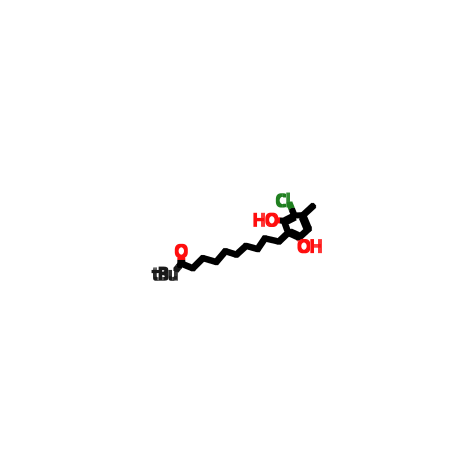 Cc1cc(O)c(CCCCCCCCCC(=O)C(C)(C)C)c(O)c1Cl